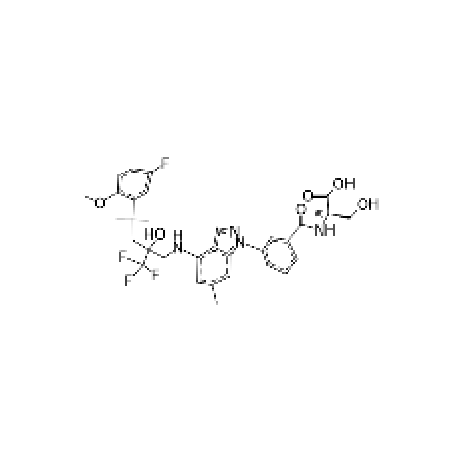 COc1ccc(F)cc1C(C)(C)CC(O)(CNc1cc(C)cc2c1cnn2-c1cccc(C(=O)N[C@H](CO)C(=O)O)c1)C(F)(F)F